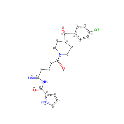 N=C(CCCC(=O)N1CCC(C(=O)c2ccc(Cl)cc2)CC1)NC(=O)c1ccc[nH]1